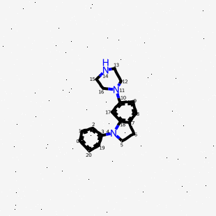 c1ccc(N2CCc3ccc(N4CCNCC4)cc32)cc1